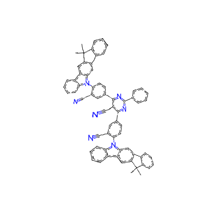 CC1(C)c2ccccc2-c2cc3c(cc21)c1ccccc1n3-c1ccc(-c2nc(-c3ccccc3)nc(-c3ccc(-n4c5ccccc5c5cc6c(cc54)-c4ccccc4C6(C)C)c(C#N)c3)c2C#N)cc1C#N